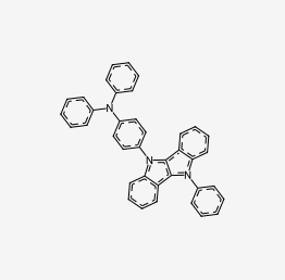 c1ccc(N(c2ccccc2)c2ccc(-n3c4ccccc4c4c3c3ccccc3n4-c3ccccc3)cc2)cc1